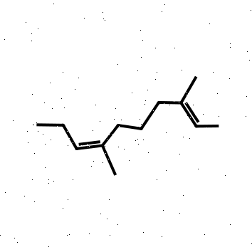 [CH2]CC=C(C)CCCC(C)=CC